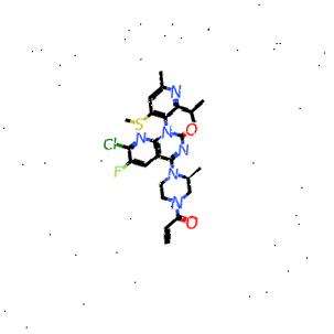 C=CC(=O)N1CCN(c2nc(=O)n(-c3c(SC)cc(C)nc3C(C)C)c3nc(Cl)c(F)cc23)[C@@H](C)C1